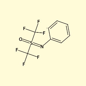 O=S(=Nc1[c]cccc1)(C(F)(F)F)C(F)(F)F